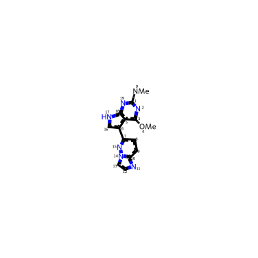 CNc1nc(OC)c2c(-c3ccc4nccn4n3)c[nH]c2n1